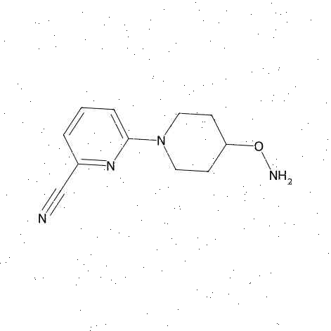 N#Cc1cccc(N2CCC(ON)CC2)n1